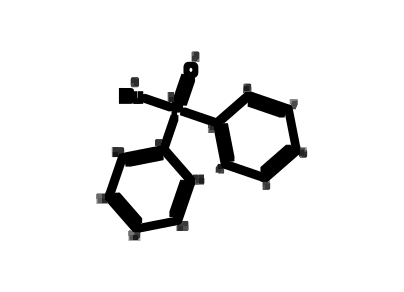 CCC(C)P(=O)(c1ccccc1)c1ccccc1